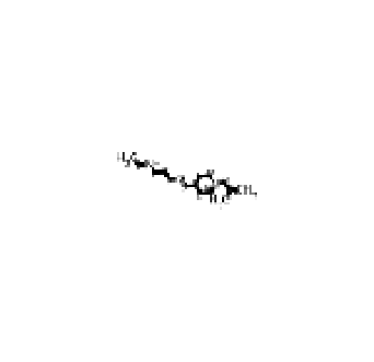 CCNCCCOCC1CCN(CC(C)C)CC1